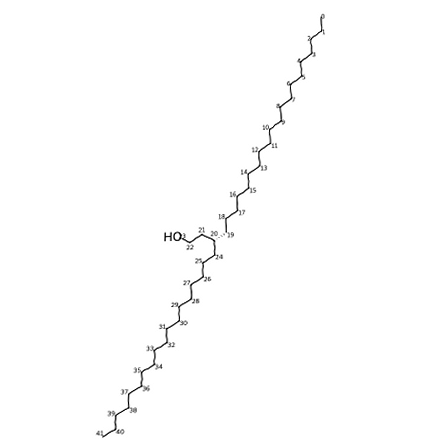 CCCCCCCCCCCCCCCCCCCC[C@@H](CCO)CCCCCCCCCCCCCCCCCC